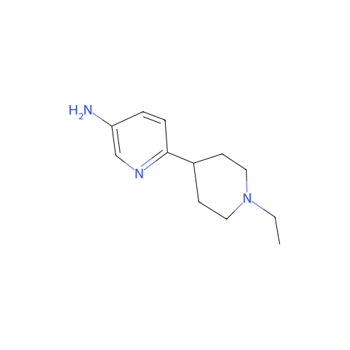 CCN1CCC(c2ccc(N)cn2)CC1